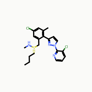 CCCC[SH](Cc1cc(Cl)cc(C)c1-c1ccn(-c2ncccc2Cl)n1)NC